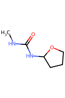 CNC(=O)NC1CCCO1